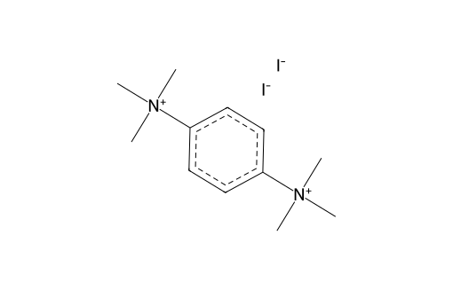 C[N+](C)(C)c1ccc([N+](C)(C)C)cc1.[I-].[I-]